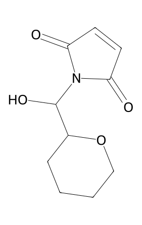 O=C1C=CC(=O)N1C(O)C1CCCCO1